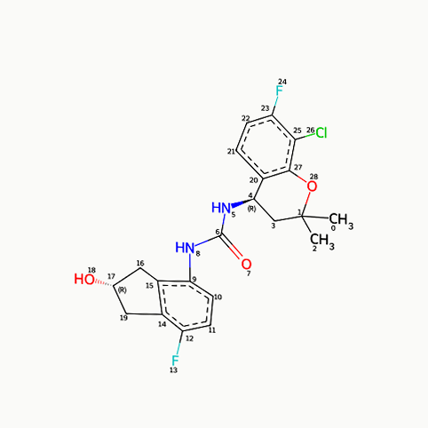 CC1(C)C[C@@H](NC(=O)Nc2ccc(F)c3c2C[C@@H](O)C3)c2ccc(F)c(Cl)c2O1